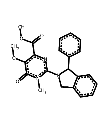 COC(=O)c1nc(N2Cc3ccccc3C2c2ccccc2)n(C)c(=O)c1OC